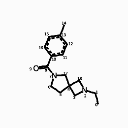 CCN1CC2(CCN(C(=O)c3ccc(C)cc3)C2)C1